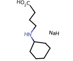 O=C(O)CCCNC1CCCCC1.[NaH]